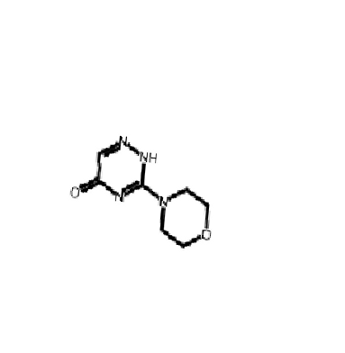 O=c1cn[nH]c(N2CCOCC2)n1